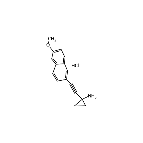 COc1ccc2cc(C#CC3(N)CC3)ccc2c1.Cl